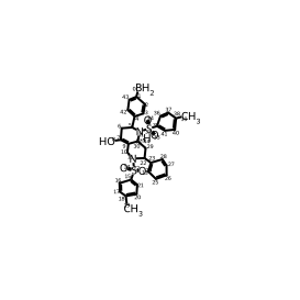 Bc1ccc(C2CC(O)=C3CN(S(=O)(=O)c4ccc(C)cc4)C(c4ccccc4)C[C@@H]3N2S(=O)(=O)c2ccc(C)cc2)cc1